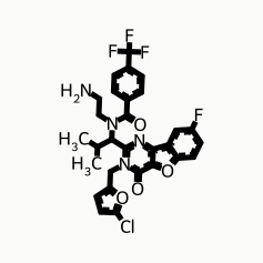 CC(C)C(c1nc2c(oc3ccc(F)cc32)c(=O)n1Cc1ccc(Cl)o1)N(CCN)C(=O)c1ccc(C(F)(F)F)cc1